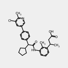 Cc1ncc(-c2ccc(C(C(=O)Nc3cccc(C(C)CC(=O)O)c3C)C3CCCC3)cc2)cc1Cl